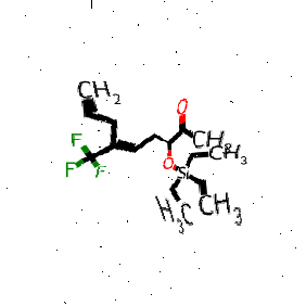 C=CC/C(=C\C[C@H](O[Si](CC)(CC)CC)C(C)=O)C(F)(F)F